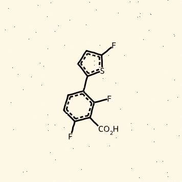 O=C(O)c1c(F)ccc(-c2ccc(F)s2)c1F